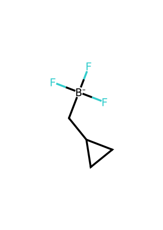 F[B-](F)(F)CC1CC1